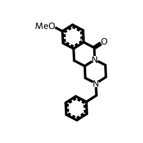 COc1ccc2c(c1)CC1CN(Cc3ccccc3)CCN1C2=O